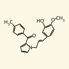 COc1ccc(C=CCn2cccc2C(=O)c2ccc(C)cc2)cc1O